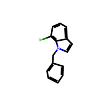 Brc1cccc2ccn(Cc3ccccc3)c12